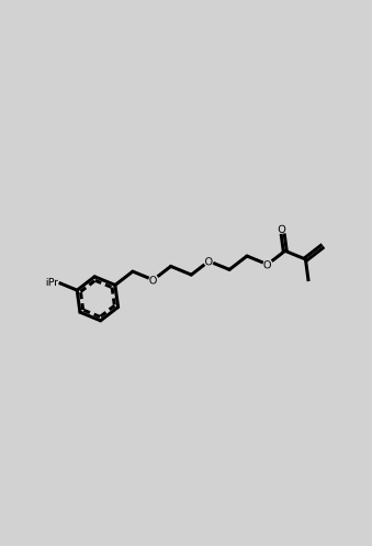 C=C(C)C(=O)OCCOCCOCc1cccc(C(C)C)c1